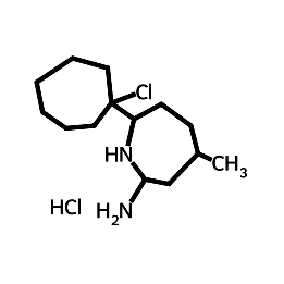 CC1CCC(C2(Cl)CCCCCC2)NC(N)C1.Cl